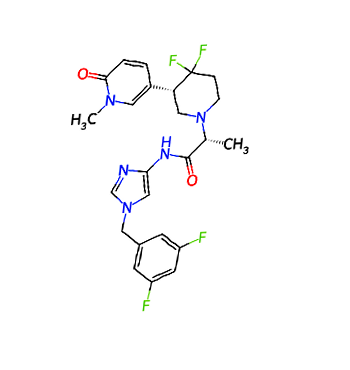 C[C@H](C(=O)Nc1cn(Cc2cc(F)cc(F)c2)cn1)N1CCC(F)(F)[C@@H](c2ccc(=O)n(C)c2)C1